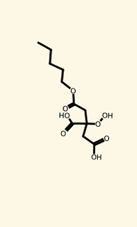 CCCCCOC(=O)CC(CC(=O)O)(OO)C(=O)O